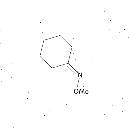 CON=C1CCCCC1